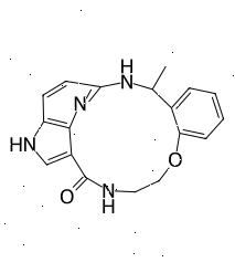 CC1Nc2ccc3[nH]cc(c3n2)C(=O)NCCOc2ccccc21